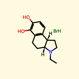 Br.CCN1CC[C@H]2c3ccc(O)c(O)c3CC[C@H]21